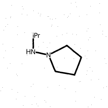 CC(C)NN1CCCC1